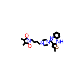 Cc1cc2c(s1)Nc1ccccc1N=C2N1CCN(CCCCN2C(=O)C(C)C(C)C2=O)CC1